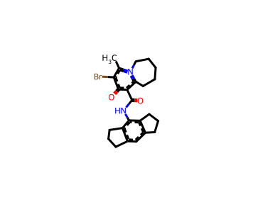 Cc1c(Br)c(=O)c(C(=O)Nc2c3c(cc4c2CCC4)CCC3)c2n1CCCCC2